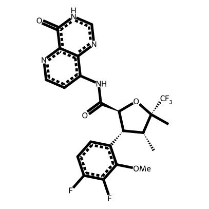 COc1c([C@@H]2[C@@H](C(=O)Nc3ccnc4c(=O)[nH]cnc34)O[C@](C)(C(F)(F)F)[C@@H]2C)ccc(F)c1F